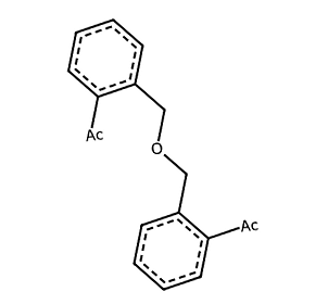 CC(=O)c1ccccc1COCc1ccccc1C(C)=O